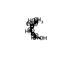 C[C@@](O)(C(=O)Nc1ccc(S(=O)(=O)Nc2ccc(S(=O)(=O)NCCO)cc2)cc1Cl)C(F)(F)F